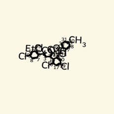 CCOC(=O)c1c(C=C(C(=O)O)c2ccc(Cl)cc2Cl)c2c(Cl)cc(Cl)cc2n1S(=O)(=O)c1ccc(C)cc1